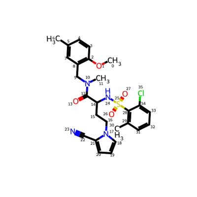 COc1ccc(C)cc1CN(C)C(=O)C(CCn1cccc1C#N)NS(=O)(=O)c1c(C)cccc1Cl